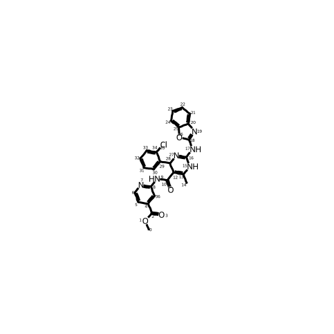 COC(=O)c1ccnc(NC(=O)C2=C(C)NC(Nc3nc4ccccc4o3)=NC2c2ccccc2Cl)c1